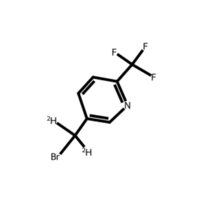 [2H]C([2H])(Br)c1ccc(C(F)(F)F)nc1